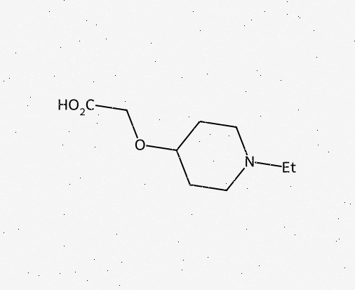 CCN1CCC(OCC(=O)O)CC1